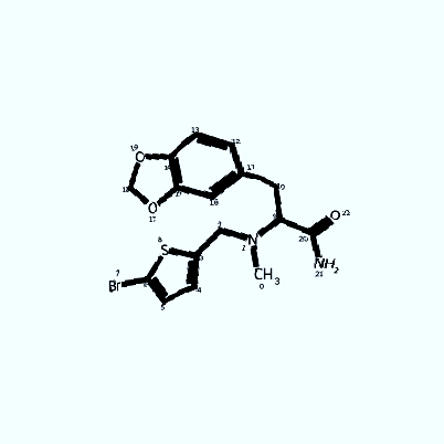 CN(Cc1ccc(Br)s1)C(Cc1ccc2c(c1)OCO2)C(N)=O